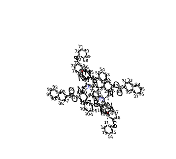 N#C/C(c1cnc2cc(Sc3ccccc3)ccc2n1)=c1\c2c(-c3ccc(OC(=O)c4ccc5ccccc5c4)cc3)n(B(c3ccccc3)c3ccccc3)/c(=C(/C#N)c3cnc4cc(Sc5ccccc5)ccc4n3)c2c(-c2ccc(OC(=O)c3ccc4ccccc4c3)cc2)n1B(c1ccccc1)c1ccccc1